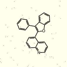 [c]1ccc(-c2oc3ccccc3c2-c2ccccc2)c2cccnc12